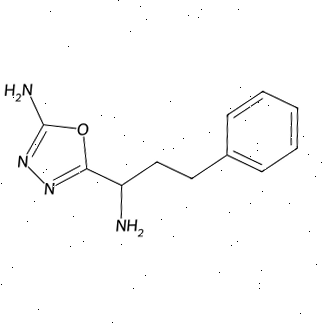 Nc1nnc(C(N)CCc2ccccc2)o1